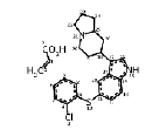 C=CC(=O)O.Clc1ccccc1Sc1ccc2[nH]cc(C3CCN4CCCC4C3)c2c1